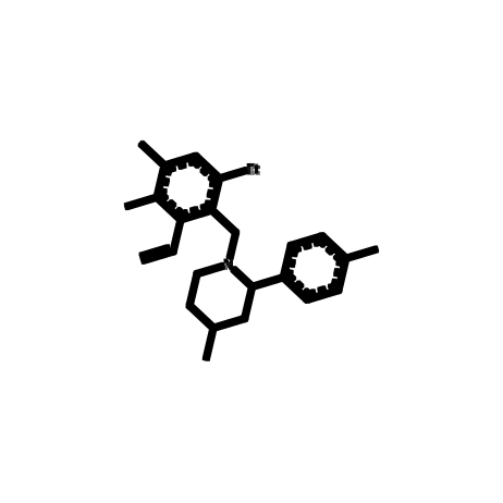 C=Cc1c(C)c(C)cc(CC)c1CN1CCC(C)CC1c1ccc(C)cc1